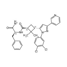 CC1(C)[C@@H](C(=O)N[C@@H](Cc2ccccc2)C(N)=O)C[C@@H]1c1cc(-c2cccnc2)nn1-c1ccc(Cl)c(Cl)c1